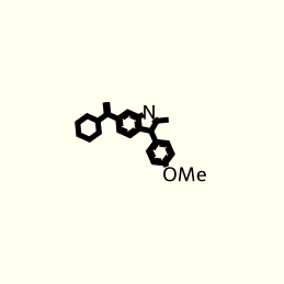 C=C(c1ccc2c(c1)N=C(C)C2c1ccc(OC)cc1)C1CCCCC1